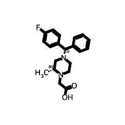 C[C@@H]1CN([C@@H](c2ccccc2)c2ccc(F)cc2)CCN1CC(=O)O